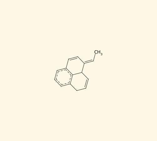 CC=C1C=Cc2cccc3c2C1C=CC3